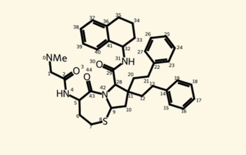 CNCC(=O)NC1CCSC2CC(CCc3ccccc3)(CCc3ccccc3)C(C(=O)NC3CCCc4ccccc43)N2C1=O